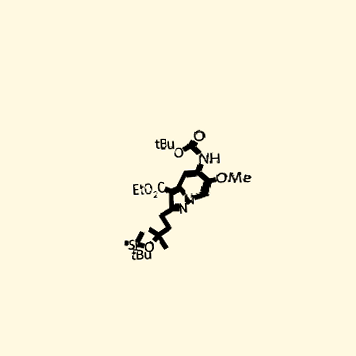 CCOC(=O)c1c(CCC(C)(C)O[Si](C)(C)C(C)(C)C)nn2cc(OC)c(NC(=O)OC(C)(C)C)cc12